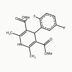 COC(=O)C1=C(C)NC(C)=C(C(=O)OC)C1c1cc(F)ccc1F